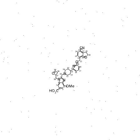 COc1cc(C(=O)O)cc2c1nc(CN1CCC(c3cccc(OCc4ccc(C#N)c5c4OCC5)n3)CC1)n2C[C@@H]1CCO1